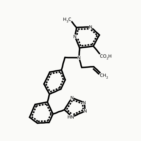 C=CCN(Cc1ccc(-c2ccccc2-c2nnn[nH]2)cc1)c1nc(C)ncc1C(=O)O